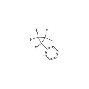 FC1(F)C(F)(F)C1(F)c1[c]cccc1